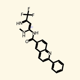 CN/C(=C\C(=N)C(F)(F)F)NC(=O)c1ccc2nc(-c3ccccc3)ccc2c1